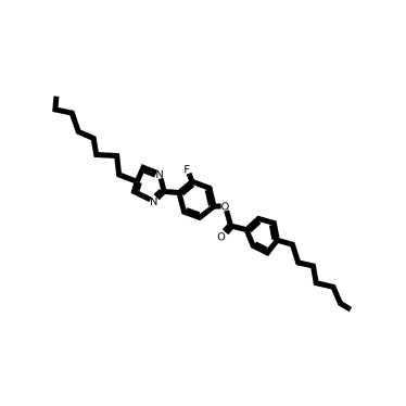 CCCCCCCCc1cnc(-c2ccc(OC(=O)c3ccc(CCCCCCC)cc3)cc2F)nc1